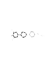 COC[C@H]1CC[C@H](c2ccc(-c3cc(F)c(F)c(F)c3)cc2)CC1